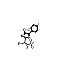 CC(C)C(c1nc(-c2ccc(F)cc2)c(C=O)[nH]1)N(C)S(C)(=O)=O